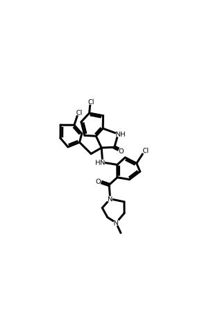 CN1CCN(C(=O)c2ccc(Cl)cc2NC2(Cc3cccc(Cl)c3)C(=O)Nc3cc(Cl)ccc32)CC1